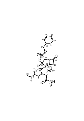 CNC(=O)CN(CC(=O)NC)C(=O)[S@]1(CO)[C@@H]2CC(=O)N2[C@@H](C(=O)OCc2ccccc2)C1(C)C